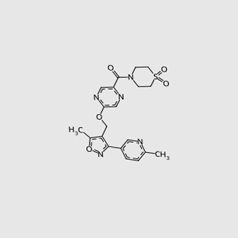 Cc1ccc(-c2noc(C)c2COc2cnc(C(=O)N3CCS(=O)(=O)CC3)cn2)cn1